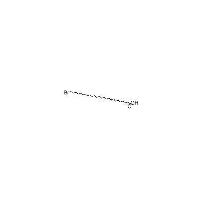 O=C(O)CCCCCCCCCCCCCCCCCCCCCCCCCBr